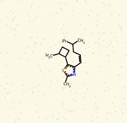 Cc1nc(/C=C\CC(C)C(C)C)c(C2CCC2C)s1